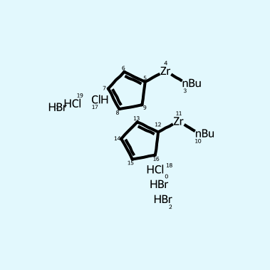 Br.Br.Br.CCC[CH2][Zr][C]1=CC=CC1.CCC[CH2][Zr][C]1=CC=CC1.Cl.Cl.Cl